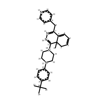 CC12CC=CC=C1C(Cc1ccncc1)=NN=C2N1CCN(c2ccc(C(C)(C)C)cc2)CC1